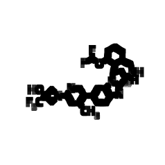 Cc1cc(N2CC(O)(C(F)(F)F)C2)ncc1-c1ccc2nc3n(c2c1)C1=c2c(OC(F)F)cccc2=CN[C@@H]3C1